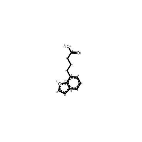 O=C(O)CCCc1cccc2ccoc12